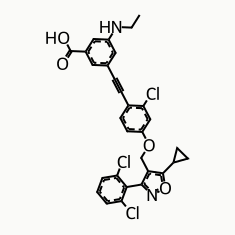 CCNc1cc(C#Cc2ccc(OCc3c(-c4c(Cl)cccc4Cl)noc3C3CC3)cc2Cl)cc(C(=O)O)c1